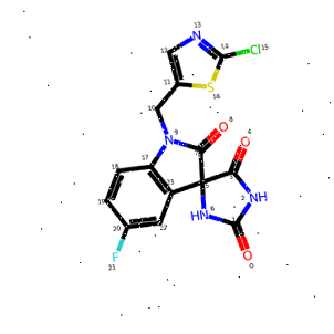 O=C1NC(=O)C2(N1)C(=O)N(Cc1cnc(Cl)s1)c1ccc(F)cc12